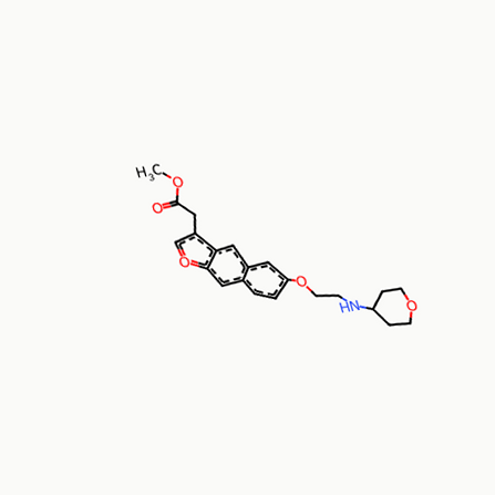 COC(=O)Cc1coc2cc3ccc(OCCNC4CCOCC4)cc3cc12